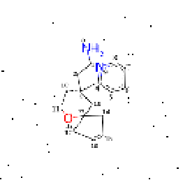 NCCC1(c2ccccn2)CCOC2(CC=CC2)C1